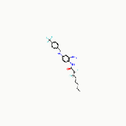 CCCCC[C@@H](F)[C@@H](F)C(=O)Nc1ccc(NCc2ccc(C(F)(F)F)cc2)cc1N